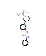 CC(C)N1CCCC(c2cccc(OC(=O)Nc3ccccc3)c2)C1